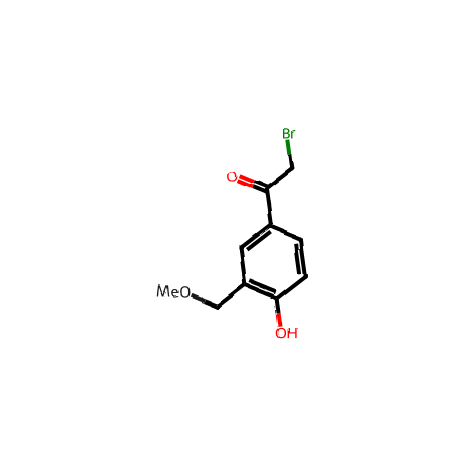 COCc1cc(C(=O)CBr)ccc1O